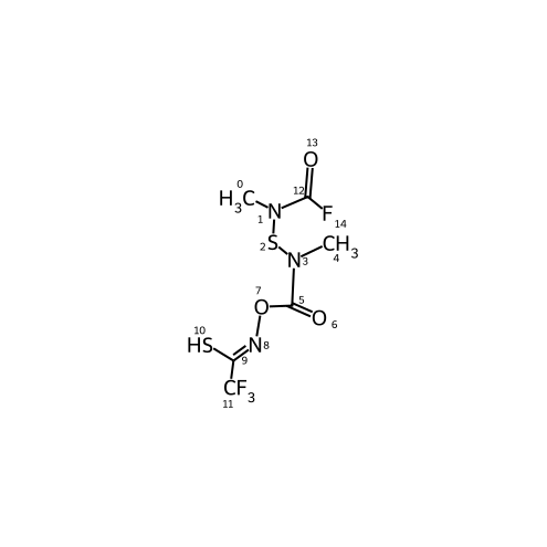 CN(SN(C)C(=O)O/N=C(\S)C(F)(F)F)C(=O)F